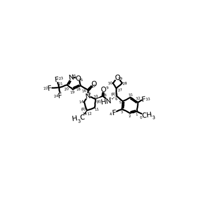 Cc1cc(F)c([C@H](NC(=O)[C@H]2C[C@@H](C)CN2C(=O)c2cc(C(F)(F)F)no2)C2COC2)cc1F